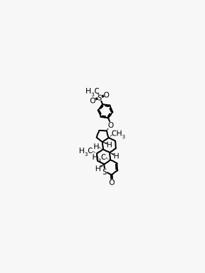 C[C@H]1C[C@H]2SC(=O)C=C[C@]2(C)[C@H]2CC[C@]3(C)[C@@H](Oc4ccc(S(C)(=O)=O)cc4)CC[C@H]3[C@H]12